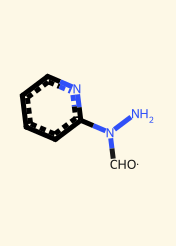 NN([C]=O)c1ccccn1